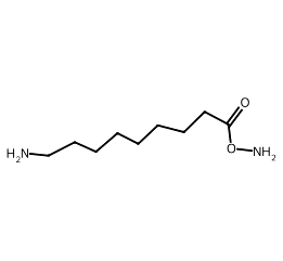 NCCCCCCCCC(=O)ON